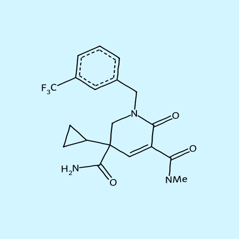 CNC(=O)C1=CC(C(N)=O)(C2CC2)CN(Cc2cccc(C(F)(F)F)c2)C1=O